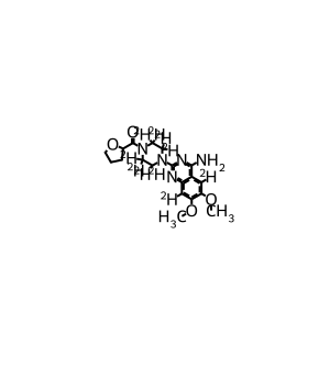 [2H]c1c(OC)c(OC)c([2H])c2c(N)nc(N3C([2H])([2H])C([2H])([2H])N(C(=O)C4CCCO4)C([2H])([2H])C3([2H])[2H])nc12